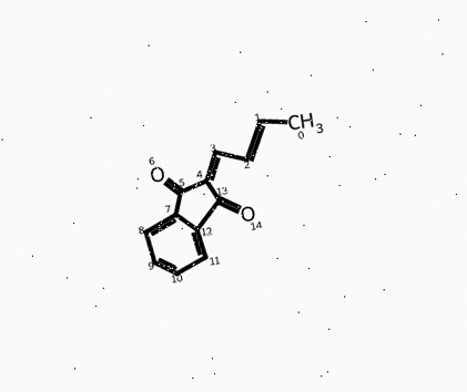 CC=CC=C1C(=O)c2ccccc2C1=O